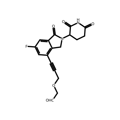 O=CCOCC#Cc1cc(F)cc2c1CN(C1CCC(=O)NC1=O)C2=O